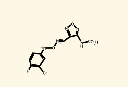 O=C(O)Nc1nonc1/C=N/ONc1ccc(F)c(Br)c1